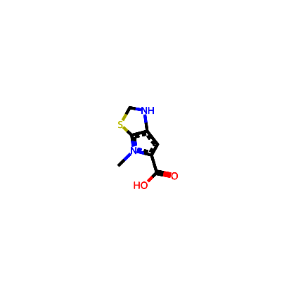 Cn1c(C(=O)O)cc2c1SCN2